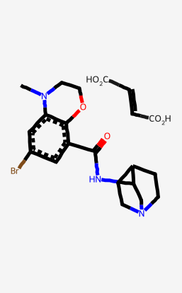 CN1CCOc2c(C(=O)NC3CN4CCC3CC4)cc(Br)cc21.O=C(O)C=CC(=O)O